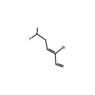 C=CC(Br)=CCC(C)F